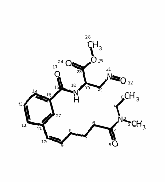 CCN(C)C(=O)CCC/C=C\c1cccc(C(=O)NC(CN=O)C(=O)OC)c1